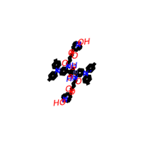 Cc1ccc(N(c2ccc(C)cc2)c2ccc(C3=C([O-])/C(=C4/C=CC(=[N+](c5ccc(C)cc5)c5ccc(C)cc5)C=C4NC(=O)CCC(=O)OC4CC(C)(C)N(O)C(C)(C)C4)C3=O)c(NC(=O)CCC(=O)OC3CC(C)(C)N(O)C(C)(C)C3)c2)cc1